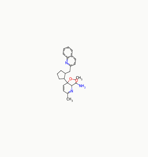 CCOC1(C2CCCC2Cc2ccc3ccccc3n2)C=CC(C)=NC1C(N)=O